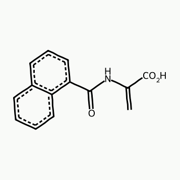 C=C(NC(=O)c1cccc2ccccc12)C(=O)O